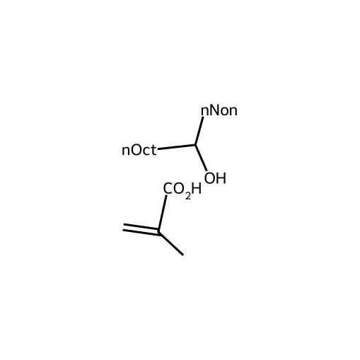 C=C(C)C(=O)O.CCCCCCCCCC(O)CCCCCCCC